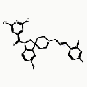 O=C(c1cc(Cl)nc(Cl)c1)N1CC2(CCN(C/C=C/c3ccc(F)cc3F)CC2)c2cc(F)ccc21